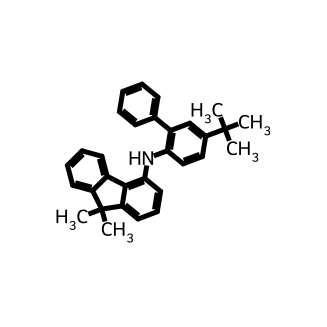 CC(C)(C)c1ccc(Nc2cccc3c2-c2ccccc2C3(C)C)c(-c2ccccc2)c1